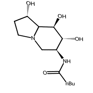 CCCCC(=O)N[C@H]1CN2CC[C@H](O)C2[C@@H](O)[C@@H]1O